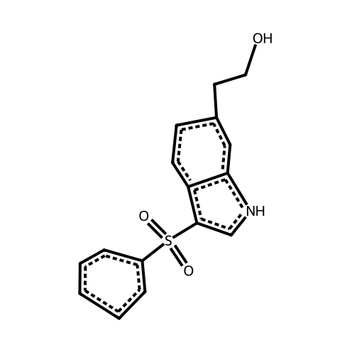 O=S(=O)(c1ccccc1)c1c[nH]c2cc(CCO)ccc12